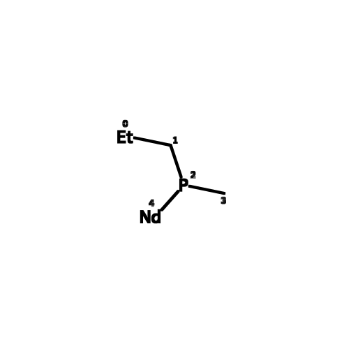 CCC[P](C)[Nd]